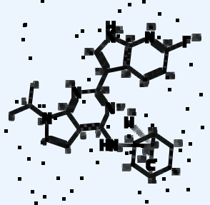 CC(C)n1ccc2c(N[C@@H]3CC4CCC3CC4)nc(-c3c[nH]c4nc(F)ccc34)nc21